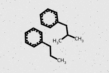 CC(C)Cc1ccccc1.CCCc1ccccc1